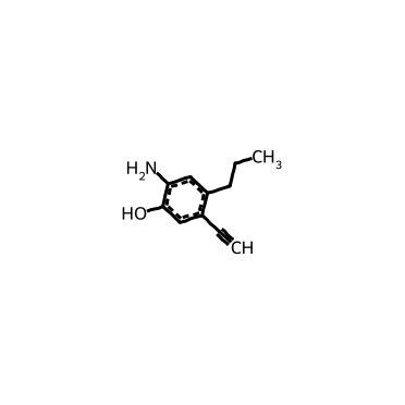 C#Cc1cc(O)c(N)cc1CCC